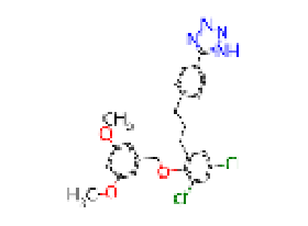 COc1cc(COc2c(Cl)cc(Cl)cc2CCCc2ccc(-c3nnn[nH]3)cc2)cc(OC)c1